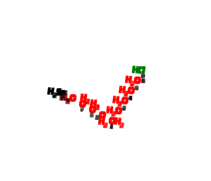 Cl.O.O.O.O.O.O.O.O.O.[SnH2]